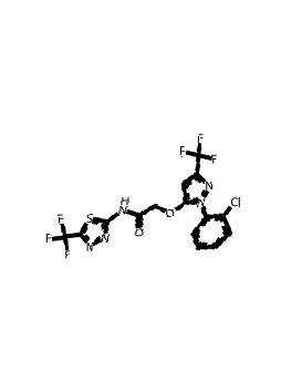 O=C(COc1cc(C(F)(F)F)nn1-c1ccccc1Cl)Nc1nnc(C(F)(F)F)s1